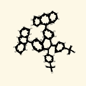 CC(C)(C)c1ccc(C2c3ccc(-c4c5ccccc5cc5ccccc45)cc3-c3cc(-c4c5ccccc5cc5ccccc45)ccc3C2c2ccc(C(C)(C)C)cc2)cc1